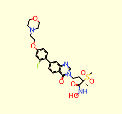 C[C@@](CCn1cnc2cc(-c3ccc(OCCN4CCOCC4)cc3F)ccc2c1=O)(C(=O)NO)S(C)(=O)=O